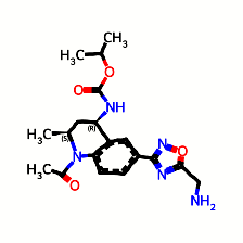 CC(=O)N1c2ccc(-c3noc(CN)n3)cc2[C@H](NC(=O)OC(C)C)C[C@@H]1C